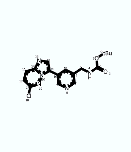 CC(C)(C)OC(=O)NCc1cncc(-c2cnc3ccc(Cl)nn23)c1